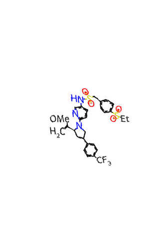 C=C(OC)[C@@H]1CC(c2ccc(C(F)(F)F)cc2)CN1c1ccc(NS(=O)(=O)Cc2ccc(S(=O)(=O)CC)cc2)cn1